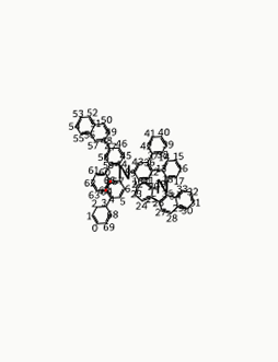 C1=CCC(c2ccc(N(c3ccc(-c4ccccc4-n4c5ccccc5c5ccc6ccccc6c54)c(-c4ccccc4)c3)c3ccc(-c4ccc5ccccc5c4)cc3-c3ccccc3)cc2)C=C1